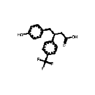 O=C(O)CC(Cc1ccc(O)cc1)c1ccc(C(F)(F)F)cc1